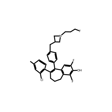 Cc1ccc(C2=C(c3ccc(CC4CN(CCCF)C4)cc3)c3cc(F)c(O)c(F)c3CCC2)c(Cl)c1